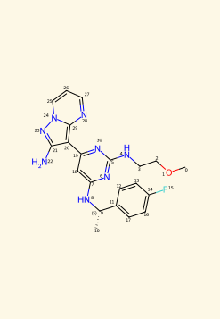 COCCNc1nc(N[C@@H](C)c2ccc(F)cc2)cc(-c2c(N)nn3cccnc23)n1